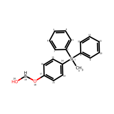 C[Si](c1ccccc1)(c1ccccc1)c1ccc(OBO)cc1